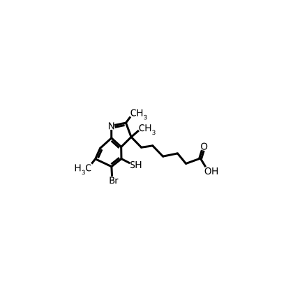 CC1=Nc2cc(C)c(Br)c(S)c2C1(C)CCCCCC(=O)O